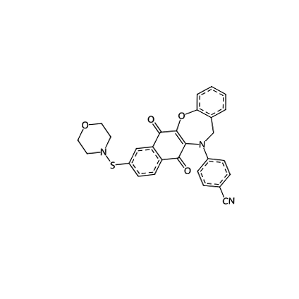 N#Cc1ccc(N2Cc3ccccc3OC3=C2C(=O)c2ccc(SN4CCOCC4)cc2C3=O)cc1